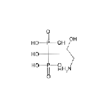 CC(O)(P(=O)(O)O)P(=O)(O)O.NCCO